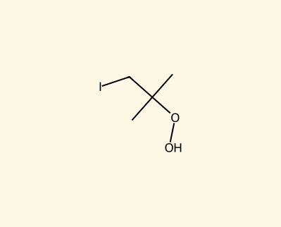 CC(C)(CI)OO